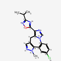 CC(C)c1noc(-c2ncn3c2Cc2cnn(C)c2-c2cc(Cl)ccc2-3)n1